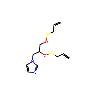 C=CCSOCC(Cn1ccnc1)OSCC=C